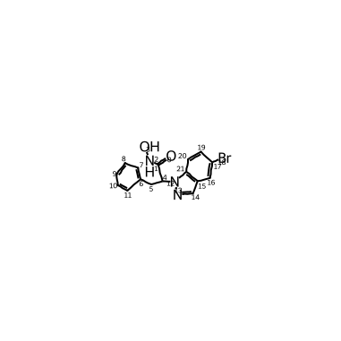 O=C(NO)C(Cc1ccccc1)n1ncc2cc(Br)ccc21